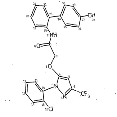 O=C(COc1cc(C(F)(F)F)nn1-c1ccccc1Cl)Nc1ccccc1-c1ccc(O)cc1